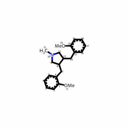 COc1ccccc1CC1CN(C)CC1Cc1ccccc1OC